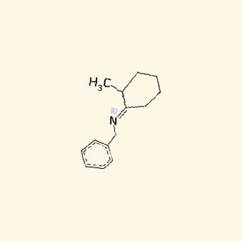 CC1CCCC/C1=N\Cc1ccccc1